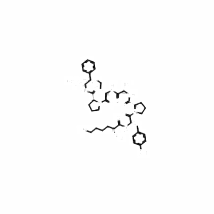 CC(C)[C@H](NC(=O)[C@@H]1CCCN1C(=O)[C@H](Cc1ccc(O)cc1)NC(=O)[C@@H](N)CCCCN)C(=O)N[C@@H](CCC(=O)O)C(=O)N1CCC[C@H]1C(=O)N[C@@H](Cc1ccccc1)C(=O)O